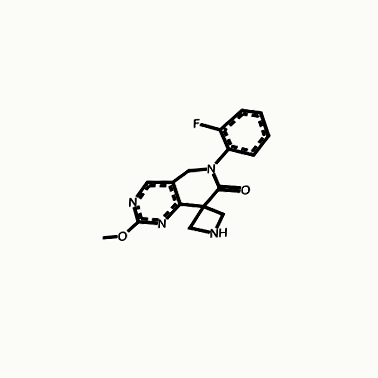 COc1ncc2c(n1)C1(CNC1)C(=O)N(c1ccccc1F)C2